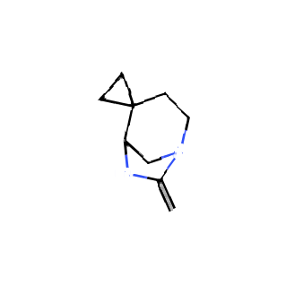 C=C1NC2CN1CCC21CC1